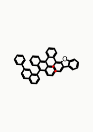 c1ccc(-c2ccc3cccc(-c4c5ccccc5c(-c5ccccc5-c5cccc6c5oc5ccccc56)c5ccccc45)c3c2)cc1